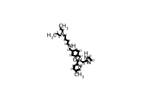 CCCN(CCC)CCCCNCc1ccc(CN(Cc2ncc[nH]2)C(=O)c2ccc(C)cn2)cc1